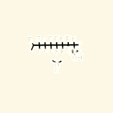 CC(F)C(F)(F)C(F)(F)C(F)(F)C(F)(F)C(F)(F)C(F)(F)C(F)(F)S(=O)(=O)O.CNC